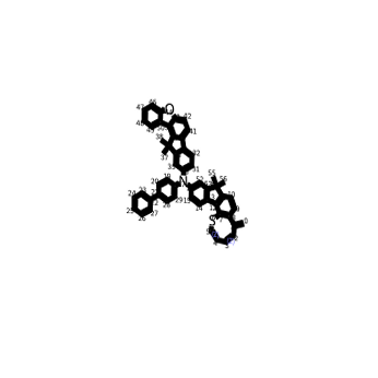 C=C1/C=C\C=C/Sc2c1ccc1c2-c2ccc(N(c3ccc(-c4ccccc4)cc3)c3ccc4c(c3)C(C)(C)c3c-4ccc4oc5ccccc5c34)cc2C1(C)C